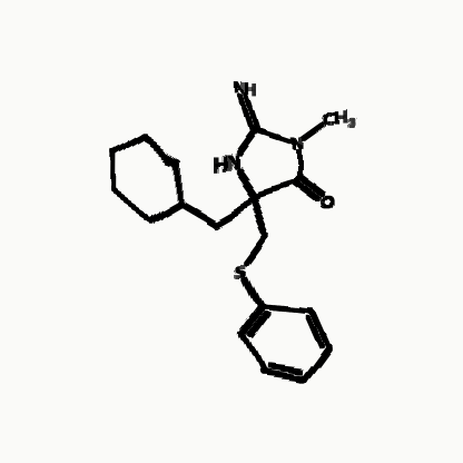 CN1C(=N)NC(CSc2ccccc2)(CC2CCCCC2)C1=O